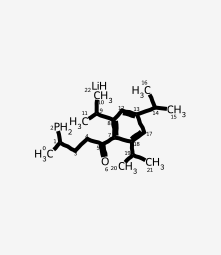 CC(P)CCC(=O)c1c(C(C)C)cc(C(C)C)cc1C(C)C.[LiH]